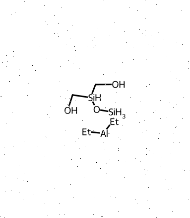 C[CH2][Al][CH2]C.OC[SiH](CO)O[SiH3]